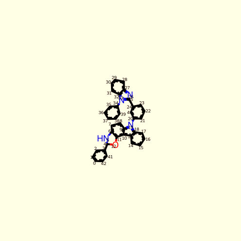 c1ccc(C2Nc3ccc4c(c3O2)c2ccccc2n4-c2cccc(-c3nc4ccccc4n3-c3ccccc3)c2)cc1